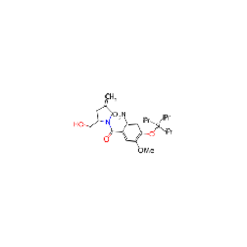 C=C1CC(CO)N(C(=O)c2cc(OC)c(O[Si](C(C)C)(C(C)C)C(C)C)cc2[N+](=O)[O-])C1